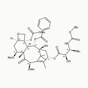 COC(=O)O[C@@]12CO[C@@H]1C[C@H](OC)[C@@]1(C)C(=O)[C@H](OC)C3=C(C)[C@@H](OC(=O)[C@H](O)[C@@H](NC(=O)OC(C)(C)C)C(C)(C)C)C[C@@](O)([C@@H](OC(=O)c4ccccc4)[C@H]21)C3(C)C